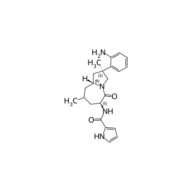 CC1C[C@@H]2C[C@@](C)(c3ccccc3N)CN2C(=O)[C@@H](NC(=O)c2ccc[nH]2)C1